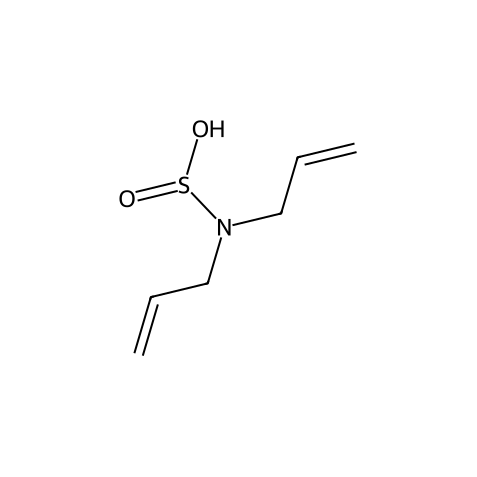 C=CCN(CC=C)S(=O)O